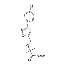 CNC(=O)C(C)(C)OCc1cc(-c2ccc(Cl)cc2)no1